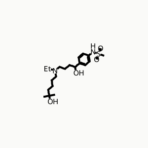 CCN(CCCCC(C)(C)O)CCCC(O)c1ccc(NS(C)(=O)=O)cc1